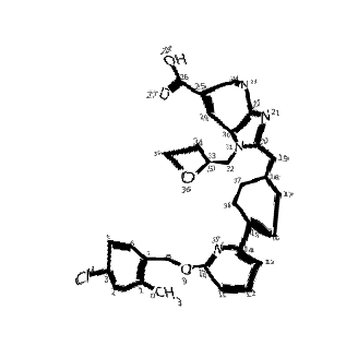 Cc1cc(Cl)ccc1COc1cccc(C2=CCC(Cc3nc4ncc(C(=O)O)cc4n3C[C@@H]3CCO3)CC2)n1